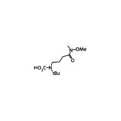 CON(C)C(=O)CCCN(C(=O)O)C(C)(C)C